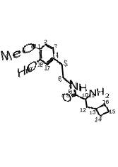 COc1ccc(CCNC(=O)C(N)CC2CCC2)cc1O